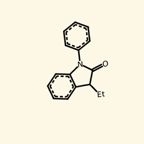 CCC1C(=O)N(c2ccccc2)c2ccccc21